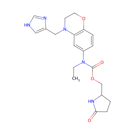 CCN(C(=O)OCC1CCC(=O)N1)c1ccc2c(c1)N(Cc1c[nH]cn1)CCO2